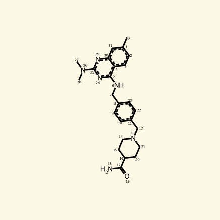 Cc1ccc2c(NCc3ccc(CN4CCC(C(N)=O)CC4)cc3)nc(N(C)C)nc2c1